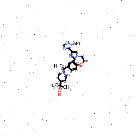 CC(C)n1ncnc1-c1cn2c(n1)-c1cc([C@H](C)N3CCC(C(C)(C)O)CC3)ccc1OCC2